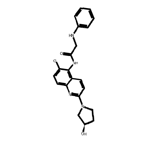 O=C(CNc1ccccc1)Nc1c(Cl)ccc2nc(N3CC[C@@H](O)C3)ccc12